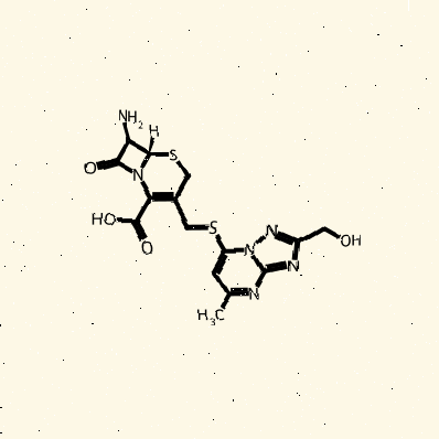 Cc1cc(SCC2=C(C(=O)O)N3C(=O)C(N)[C@@H]3SC2)n2nc(CO)nc2n1